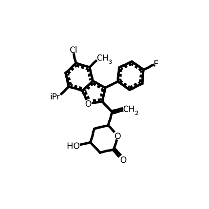 C=C(c1oc2c(C(C)C)cc(Cl)c(C)c2c1-c1ccc(F)cc1)C1CC(O)CC(=O)O1